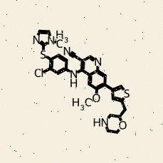 COc1cc2c(Nc3ccc(Sc4nccn4C)c(Cl)c3)c(C#N)cnc2cc1-c1csc(CC2CNCCO2)c1